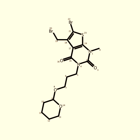 Cn1c(=O)n(CCCOC2CCCCO2)c(=O)c2c(CBr)c(Br)sc21